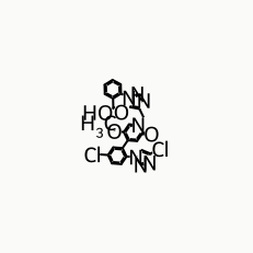 COc1cn(Cc2cn(-c3ccccc3C(=O)O)nn2)c(=O)cc1-c1cc(Cl)ccc1-n1cc(Cl)nn1